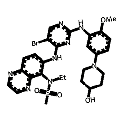 CCN(c1c(Nc2nc(Nc3cc(N4CCC(O)CC4)ccc3OC)ncc2Br)ccc2nccnc12)S(C)(=O)=O